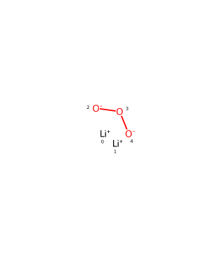 [Li+].[Li+].[O-]O[O-]